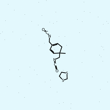 C1CSCS1.CC1(CN=C=O)C=CC(CN=C=O)=CC1